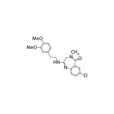 COc1ccc(CCNC2=Nc3ccc(Cl)cc3C(=O)N(C)C2)cc1OC